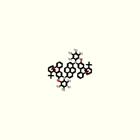 [2H]c1c([2H])c([2H])c(N(c2cc(-c3ccccc3C(C)(C)C)c(-c3ccccc3C(C)(C)C)cc2F)c2ccc3ccc4c(N(c5cc(-c6ccccc6C(C)(C)C)c(-c6ccccc6C(C)(C)C)cc5F)c5c([2H])c([2H])c([2H])c([2H])c5[2H])ccc5ccc2c3c54)c([2H])c1[2H]